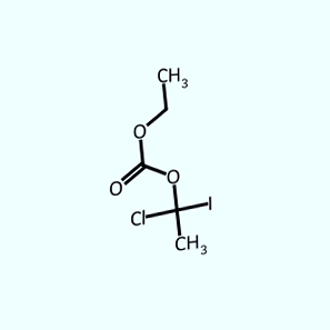 CCOC(=O)OC(C)(Cl)I